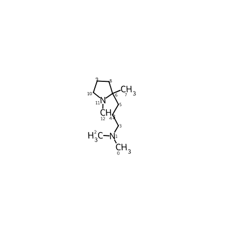 CN(C)CCCC1(C)CCCN1C